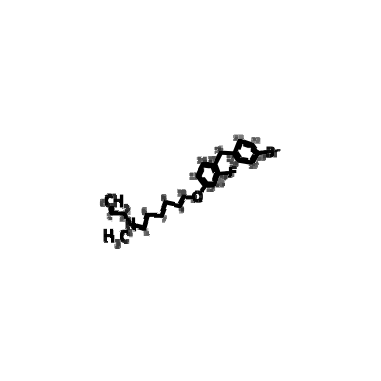 C=CCN(C)CCCCCCOc1ccc(Cc2ccc(Br)cc2)c(F)c1